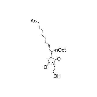 CCCCCCCCC(/C=C/CCCCCCC(C)=O)C1CC(=O)N(CCO)C1=O